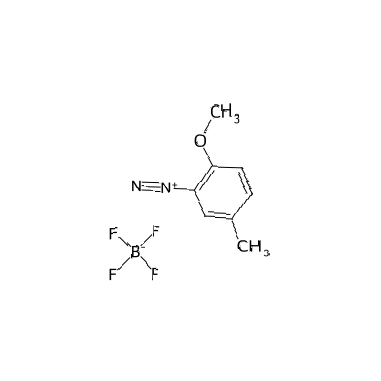 COc1ccc(C)cc1[N+]#N.F[B-](F)(F)F